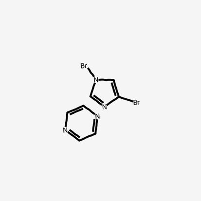 Brc1cn(Br)cn1.c1cnccn1